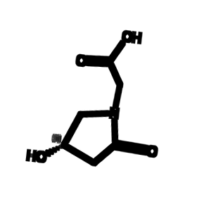 O=C(O)CN1C[C@@H](O)CC1=O